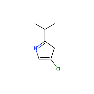 CC(C)C1=NC=C(Cl)C1